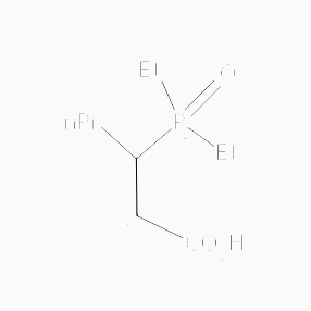 CCCC(CC(=O)O)P(=O)(CC)CC